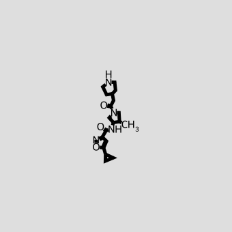 CC1CN(C(=O)CC2CCNCC2)CC1NC(=O)c1cc(C2CC2)on1